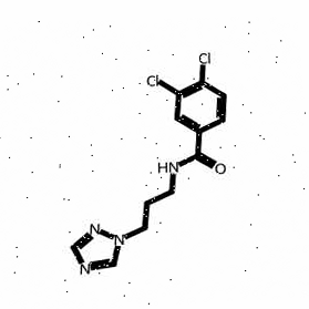 O=C(NCCCn1cncn1)c1ccc(Cl)c(Cl)c1